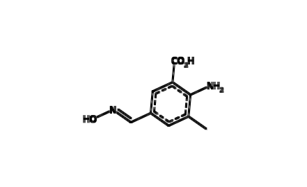 Cc1cc(C=NO)cc(C(=O)O)c1N